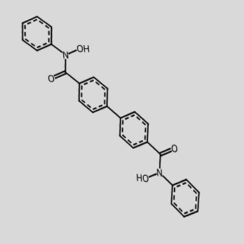 O=C(c1ccc(-c2ccc(C(=O)N(O)c3ccccc3)cc2)cc1)N(O)c1ccccc1